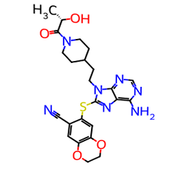 C[C@H](O)C(=O)N1CCC(CCn2c(Sc3cc4c(cc3C#N)OCCO4)nc3c(N)ncnc32)CC1